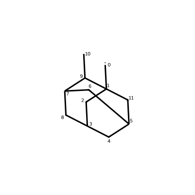 [CH2]C12CC3CC(CC(C3)C1C)C2